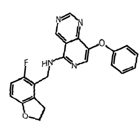 Fc1ccc2c(c1CNc1ncc(Oc3ccccc3)c3ncncc13)CCO2